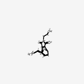 O=C1C2C3C=CC(CO)(O3)C2C(=O)N1CCO